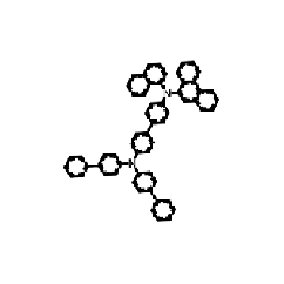 c1ccc(-c2ccc(N(c3ccc(-c4ccccc4)cc3)c3ccc(-c4ccc(N(c5cccc6ccccc56)c5cc6ccccc6c6ccccc56)cc4)cc3)cc2)cc1